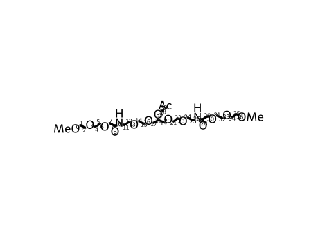 COCCOCCOCC(=O)NCCOCCOCC(COCCOCCNC(=O)COCCOCCOC)OCC(C)=O